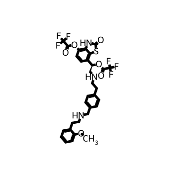 COc1ccccc1CCNCc1ccc(CCNC[C@H](OC(=O)C(F)(F)F)c2ccc(OC(=O)C(F)(F)F)c3[nH]c(=O)sc23)cc1